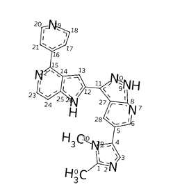 Cc1ncc(-c2cnc3[nH]nc(-c4cc5c(-c6ccncc6)nccc5[nH]4)c3c2)n1C